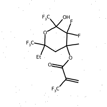 C=C(C(=O)OC1(C)CC(CC)(C(F)(F)F)OC(O)(C(F)(F)F)C1(F)F)C(F)(F)F